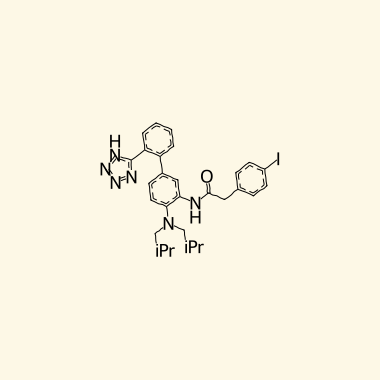 CC(C)CN(CC(C)C)c1ccc(-c2ccccc2-c2nnn[nH]2)cc1NC(=O)Cc1ccc(I)cc1